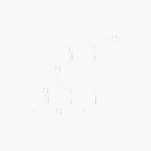 COc1ccc(N(C)c2nc(Cl)nc3cc(C)ccc23)cc1